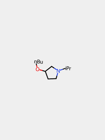 CCCCOC1CCN(C(C)C)C1